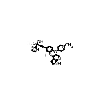 CN1CCC(Oc2ccc(C#CC(C)(O)c3nccs3)cc2Nc2ccnc3[nH]ccc23)CC1